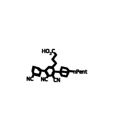 CCCCCC12CCC(c3c(CCCC(=O)O)cc(-c4cccc(C#N)c4)c(C#N)c3C#N)(CC1)CC2